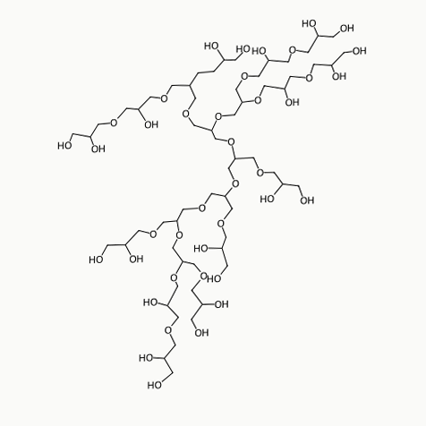 OCC(O)CCC(COCC(O)COCC(O)CO)COCC(COC(COCC(O)CO)COC(COCC(O)CO)COCC(COCC(O)CO)OCC(COCC(O)CO)OCC(O)COCC(O)CO)OCC(COCC(O)COCC(O)CO)OCC(O)COCC(O)CO